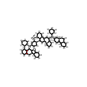 C[Si]1(C)c2cc(N(c3ccccc3-c3ccccc3)c3cccc4c3oc3ccccc34)ccc2-c2cc3c4ccccc4c(N(c4ccccc4)c4ccc5c(ccc6ccccc65)c4)cc3c3cccc1c23